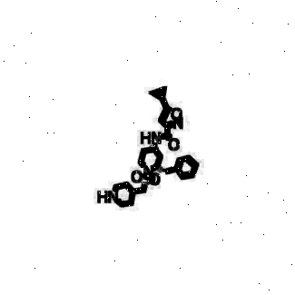 O=C(N[C@@H]1CCN(S(=O)(=O)CC2CCNCC2)[C@@H](Cc2ccccc2)C1)c1cc(C2CC2)on1